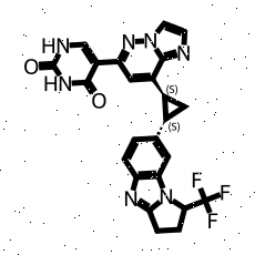 O=c1[nH]cc(-c2cc([C@H]3C[C@@H]3c3ccc4nc5n(c4c3)C(C(F)(F)F)CC5)c3nccn3n2)c(=O)[nH]1